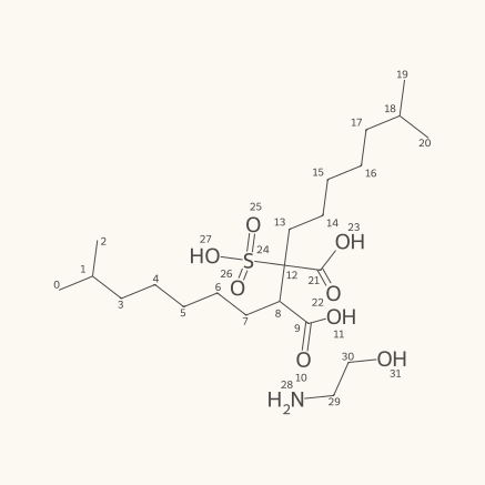 CC(C)CCCCCC(C(=O)O)C(CCCCCC(C)C)(C(=O)O)S(=O)(=O)O.NCCO